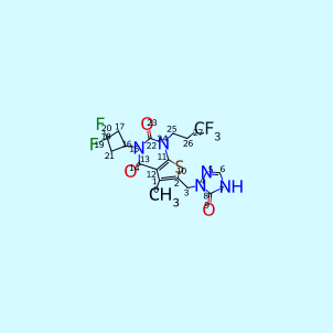 Cc1c(Cn2nc[nH]c2=O)sc2c1c(=O)n(C1CC(F)(F)C1)c(=O)n2CCC(F)(F)F